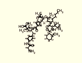 CCCCCCN(C(=O)[C@@H](NC(=O)[C@H]1CCCCN1C)[C@@H](C)CC)[C@H](C[C@@H](OC(C)=O)c1nc(C(=O)N[C@@H](Cc2ccc(NC(=O)CN)cc2)CC(C)(C)C(=O)O)cs1)C(C)C